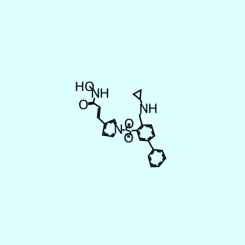 O=C(C=Cc1ccn(S(=O)(=O)c2cc(-c3ccccc3)ccc2CNC2CC2)c1)NO